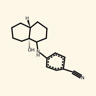 N#Cc1ccc(NC2CCC[C@H]3CCCC[C@]23O)cc1